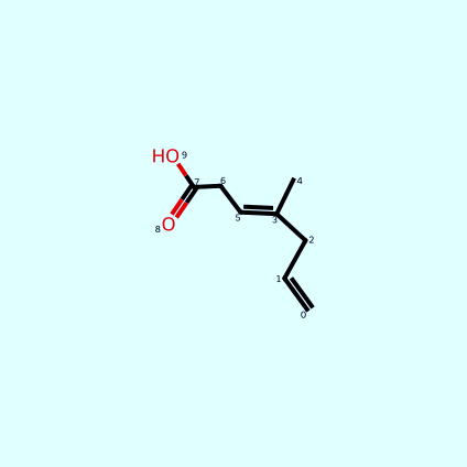 C=CCC(C)=CCC(=O)O